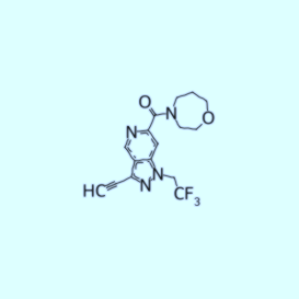 C#Cc1nn(CC(F)(F)F)c2cc(C(=O)N3CCCOCC3)ncc12